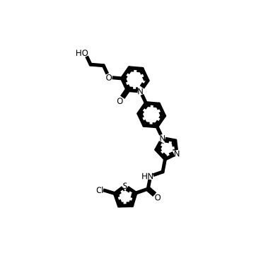 O=C(NCc1cn(-c2ccc(-n3cccc(OCCO)c3=O)cc2)cn1)c1ccc(Cl)s1